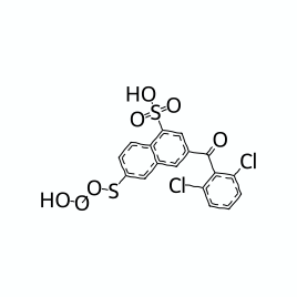 O=C(c1cc(S(=O)(=O)O)c2ccc(SOOO)cc2c1)c1c(Cl)cccc1Cl